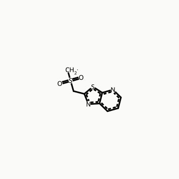 [CH2]S(=O)(=O)Cc1nc2cccnc2s1